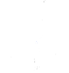 CCCCCN1CC(C)C(C)C1C